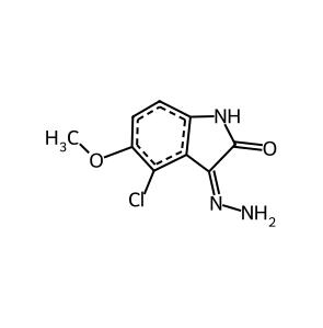 COc1ccc2c(c1Cl)/C(=N/N)C(=O)N2